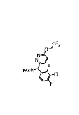 CNC(c1ccc(OCC(F)(F)F)nn1)c1ccc(F)c(Cl)c1F